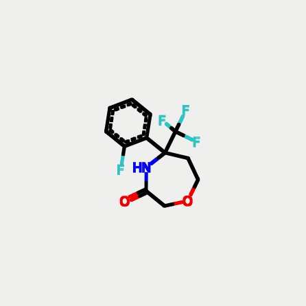 O=C1COCCC(c2ccccc2F)(C(F)(F)F)N1